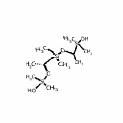 CC(O[Si](C)(C)[C@@H](C)O[Si](C)(C)O)[Si](C)(C)O